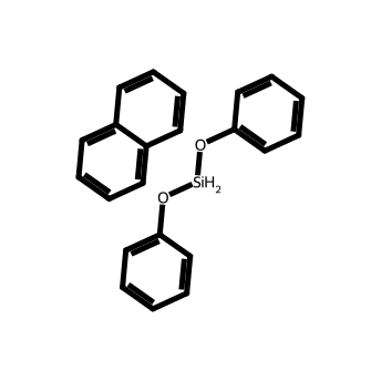 c1ccc(O[SiH2]Oc2ccccc2)cc1.c1ccc2ccccc2c1